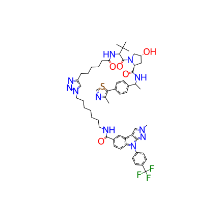 Cc1ncsc1-c1ccc(C(C)NC(=O)[C@@H]2C[C@@H](O)CN2C(=O)C(NC(=O)CCCCCc2cn(CCCCCCCNC(=O)c3ccc4c(c3)c3cn(C)nc3n4-c3ccc(C(F)(F)F)cc3)nn2)C(C)(C)C)cc1